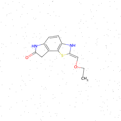 CCOC=C1Nc2ccc3c(c2S1)CC(=O)N3